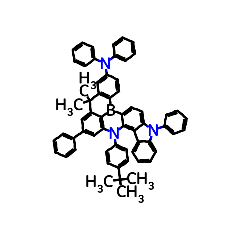 CC(C)(C)c1ccc(N2c3cc(-c4ccccc4)cc4c3B(c3ccc(N(c5ccccc5)c5ccccc5)cc3C4(C)C)c3ccc4c(c32)c2ccccc2n4-c2ccccc2)cc1